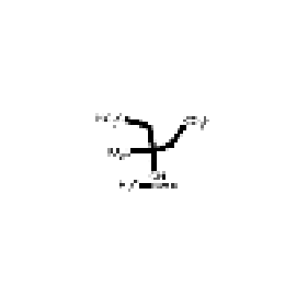 CNC.O=C(O)CC(O)(CC(=O)O)C(=O)O